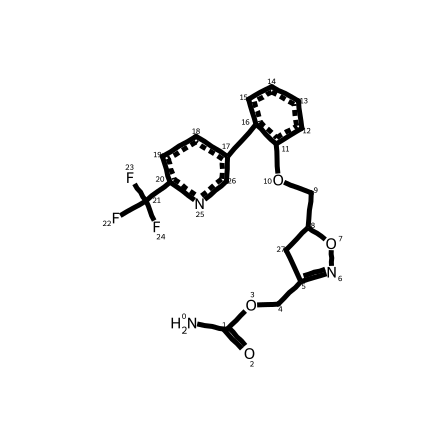 NC(=O)OCC1=NOC(COc2ccccc2-c2ccc(C(F)(F)F)nc2)C1